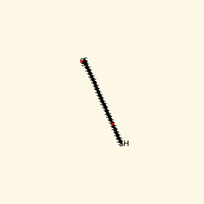 COS(=S)(=S)SSSSSSSSSSSSSSSSSSSSSSSSSSSSSSSSSSSSSSSSSSSSSSSSSSSSS